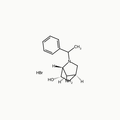 Br.CC(c1ccccc1)N1C[C@H]2C[C@H](O)[C@H]1[C@@H]2N